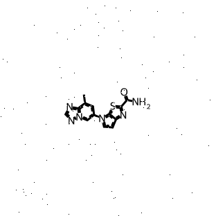 Cc1cc(-n2ccc3nc(C(N)=O)sc32)cn2ncnc12